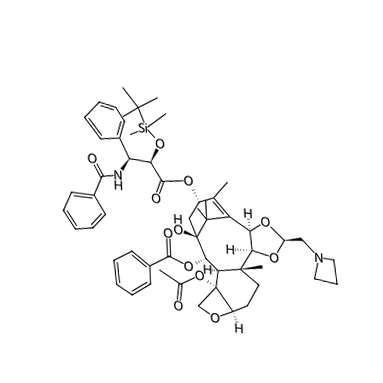 CC(=O)O[C@@]12CO[C@@H]1CC[C@@]1(C)[C@@H]3O[C@H](CN4CCC4)O[C@@H]3C3=C(C)[C@@H](OC(=O)[C@H](O[Si](C)(C)C(C)(C)C)[C@@H](NC(=O)c4ccccc4)c4ccccc4)C[C@@](O)([C@@H](OC(=O)c4ccccc4)[C@@H]12)C3(C)C